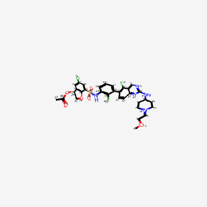 COCCN1CCC(Nc2ncc3c(F)c(-c4cccc(NS(=O)(=O)c5cc(Cl)cc6c5OC[C@H]6OC(C)=O)c4F)ccc3n2)CC1